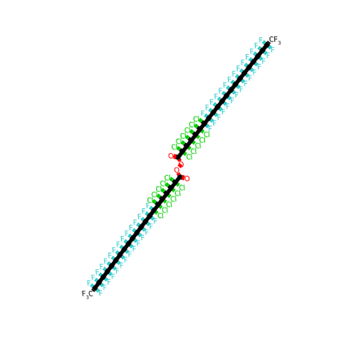 O=C(OOC(=O)C(Cl)(Cl)C(Cl)(Cl)C(Cl)(Cl)C(Cl)(Cl)C(Cl)(Cl)C(F)(Cl)C(F)(F)C(F)(F)C(F)(F)C(F)(F)C(F)(F)C(F)(F)C(F)(F)C(F)(F)C(F)(F)C(F)(F)C(F)(F)C(F)(F)C(F)(F)C(F)(F)C(F)(F)F)C(Cl)(Cl)C(Cl)(Cl)C(Cl)(Cl)C(Cl)(Cl)C(Cl)(Cl)C(F)(Cl)C(F)(F)C(F)(F)C(F)(F)C(F)(F)C(F)(F)C(F)(F)C(F)(F)C(F)(F)C(F)(F)C(F)(F)C(F)(F)C(F)(F)C(F)(F)C(F)(F)C(F)(F)F